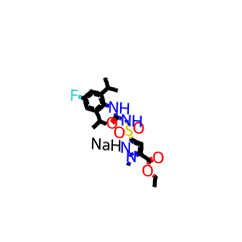 CCOC(=O)c1cc(S(=O)(=O)NC(=O)Nc2c(C(C)C)cc(F)cc2C(C)C)nn1C.[NaH]